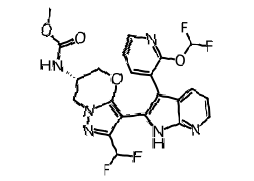 COC(=O)N[C@@H]1COc2c(-c3[nH]c4ncccc4c3-c3cccnc3OC(F)F)c(C(F)F)nn2C1